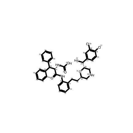 O=C(O)N[C@H](C(=O)Nc1ccccc1CC[C@@H]1CNC[C@@H](C(S)c2ccc(Cl)c(Cl)c2)O1)C(c1ccccc1)c1ccccc1